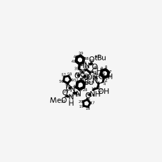 CC(C)(C)N(C(=O)O)[C@@H](Cc1ccccc1)[C@H](O)CNOC1CCCC1.COC(=O)Nc1nc2ccc(S(=O)(=O)N(Cc3ccccc3)[C@H](NC(=O)OC(C)(C)C)[C@@H](C)O)cc2n1OC1CCCC1